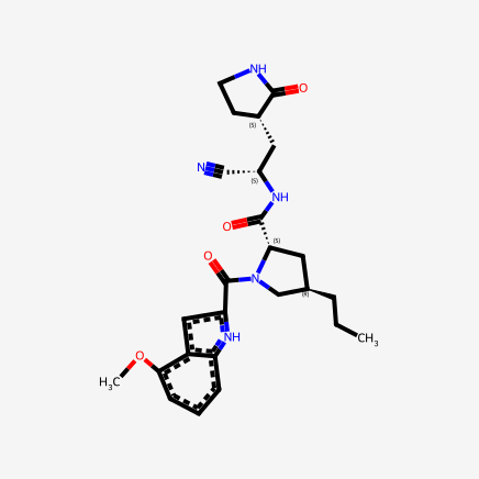 CCC[C@@H]1C[C@@H](C(=O)N[C@H](C#N)C[C@@H]2CCNC2=O)N(C(=O)c2cc3c(OC)cccc3[nH]2)C1